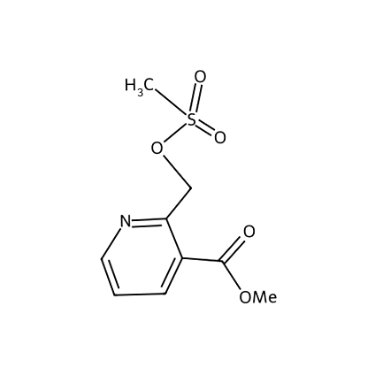 COC(=O)c1cccnc1COS(C)(=O)=O